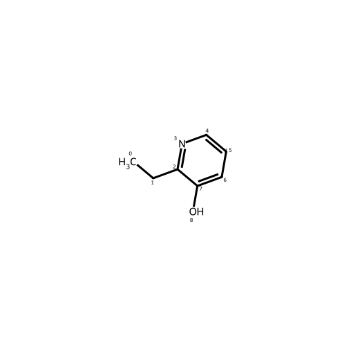 CCc1nc[c]cc1O